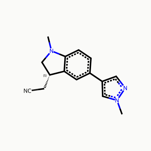 CN1C[C@@H](CC#N)c2cc(-c3cnn(C)c3)ccc21